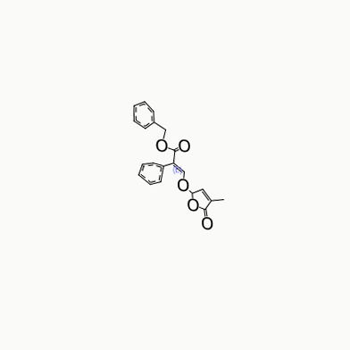 CC1=CC(O/C=C(/C(=O)OCc2ccccc2)c2ccccc2)OC1=O